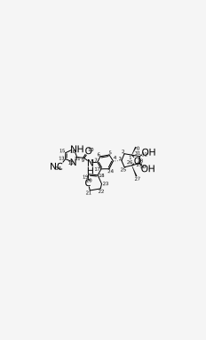 C[C@]12C[C@@H](c3ccc(NC(=O)c4nc(C#N)c[nH]4)c(C4=CCCCC4)c3)C[C@](C)(O1)[C@H](O)[C@@H]2O